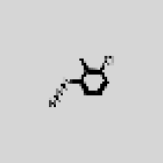 Cc1c(Cl)cccc1N=[N+]=[N-]